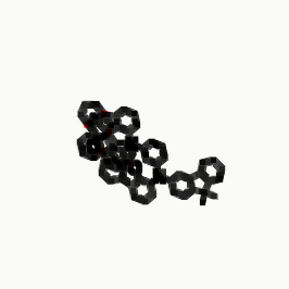 CC1(C)c2ccccc2-c2cc(N(c3cccc(N(c4cccc5c4C(c4ccccc4)(c4ccccc4)c4ccccc4-5)c4cccc5oc6ccccc6c45)c3)c3cccc4c3oc3ccccc34)ccc21